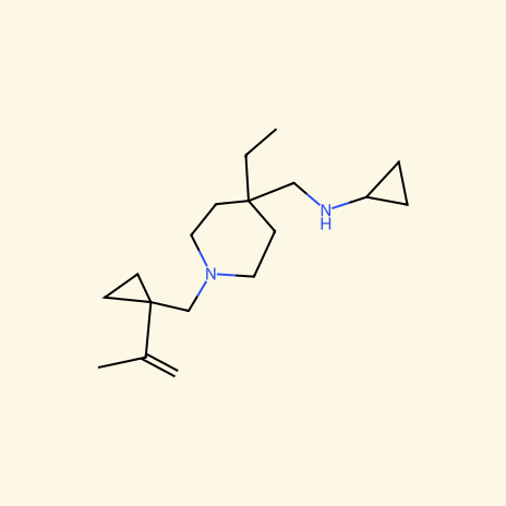 C=C(C)C1(CN2CCC(CC)(CNC3CC3)CC2)CC1